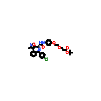 Cc1noc2c1-c1ccccc1C(c1ccc(Cl)cc1)=N[C@H]2CC(=O)Nc1ccc(OCCOCCC(=O)OC(C)(C)C)cc1